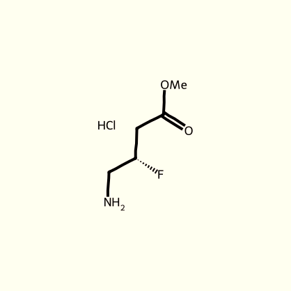 COC(=O)C[C@H](F)CN.Cl